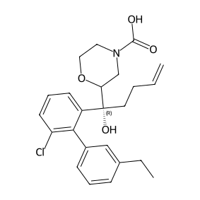 C=CCC[C@@](O)(c1cccc(Cl)c1-c1cccc(CC)c1)C1CN(C(=O)O)CCO1